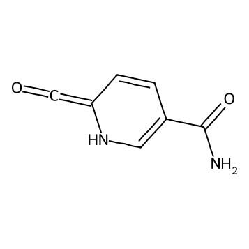 NC(=O)C1=CNC(=C=O)C=C1